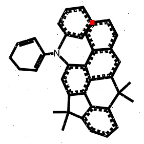 CC1(C)c2cccc3c2-c2c1cc(N(C1=CCCC=C1)c1ccccc1)c1c2c(cc2ccccc21)C3(C)C